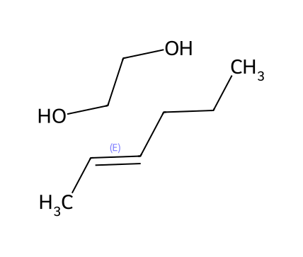 C/C=C/CCC.OCCO